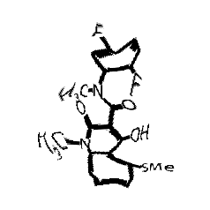 CSc1cccc2c1c(O)c(C(=O)N(C)c1cc(F)ccc1F)c(=O)n2C